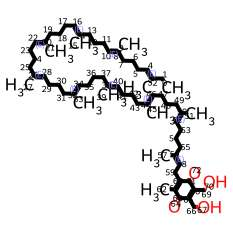 CC/C(C)=C/CCC/C(C)=C/CCC/C(C)=C/CCC/C(C)=C/CCC/C(C)=C/CCC/C(C)=C/CCC/C(C)=C/CCC/C(C)=C/CCC/C(C)=C/CCC/C(C)=C/CC1=C(C)C(=O)C(CO)=C(CO)C1=O